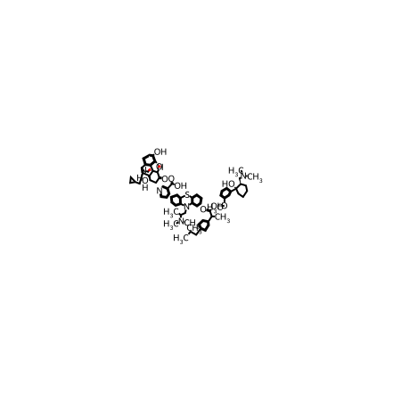 CC(C)Cc1ccc(C(C)C(=O)O)cc1.CC(CN1c2ccccc2Sc2ccccc21)N(C)C.COc1cccc([C@@]2(O)CCCC[C@@H]2CN(C)C)c1.O=C(O)c1cccnc1.O=C1CC[C@@]2(O)[C@H]3Cc4ccc(O)c5c4[C@@]2(CCN3CC2CC2)[C@H]1O5